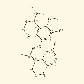 COc1c(F)cc(Oc2c(F)ccc3c2C(C(C)C)CCO3)c2c1C(C(C)C)CCO2